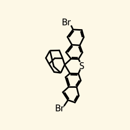 Brc1ccc2cc3c(cc2c1)C1(c2cc4cc(Br)ccc4cc2S3)C2CC3CC(C2)CC1C3